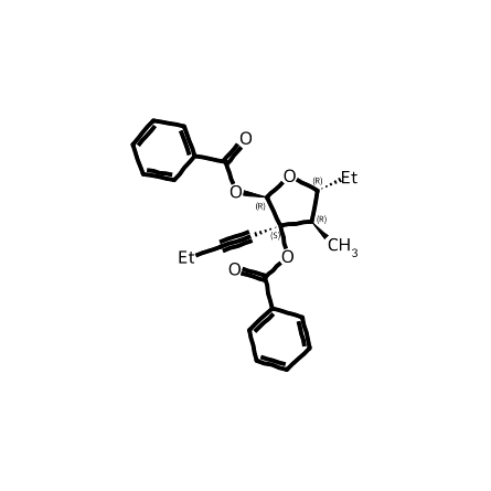 CCC#C[C@]1(OC(=O)c2ccccc2)[C@@H](OC(=O)c2ccccc2)O[C@H](CC)[C@H]1C